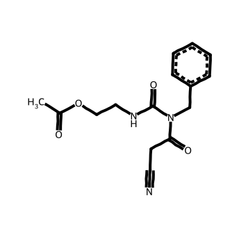 CC(=O)OCCNC(=O)N(Cc1ccccc1)C(=O)CC#N